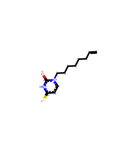 C=CCCCCCCn1ccc(=S)[nH]c1=O